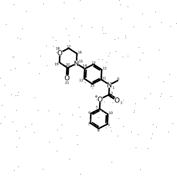 CN(C(=O)Oc1ccccc1)c1ccc(N2CCOCC2=O)cc1